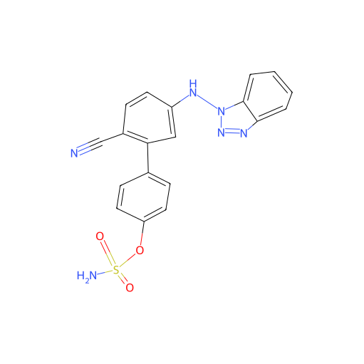 N#Cc1ccc(Nn2nnc3ccccc32)cc1-c1ccc(OS(N)(=O)=O)cc1